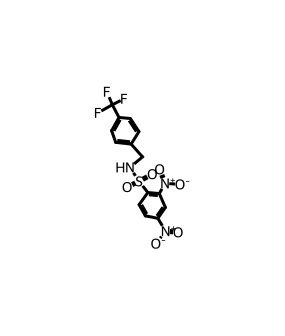 O=[N+]([O-])c1ccc(S(=O)(=O)NCc2ccc(C(F)(F)F)cc2)c([N+](=O)[O-])c1